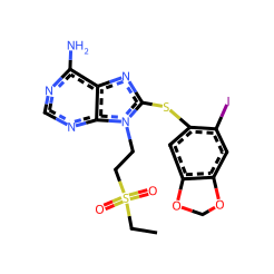 CCS(=O)(=O)CCn1c(Sc2cc3c(cc2I)OCO3)nc2c(N)ncnc21